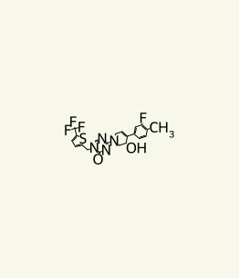 Cc1ccc(C2=CCN(c3ncn(Cc4ccc(C(F)(F)F)s4)c(=O)n3)C[C@@H]2O)cc1F